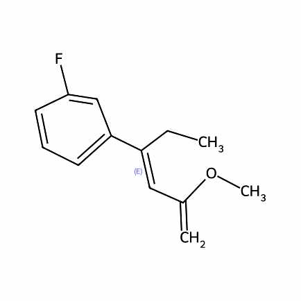 C=C(/C=C(\CC)c1cccc(F)c1)OC